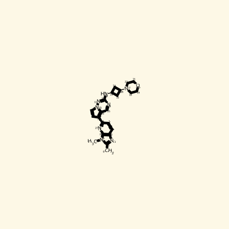 Cc1nc2ccc(-c3ccn4nc(N[C@H]5C[C@@H](N6CCOCC6)C5)ncc34)nc2n1C